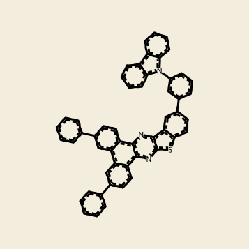 c1ccc(-c2ccc3c(c2)c2cc(-c4ccccc4)ccc2c2nc4c(nc32)sc2ccc(-c3cccc(-n5c6ccccc6c6ccccc65)c3)cc24)cc1